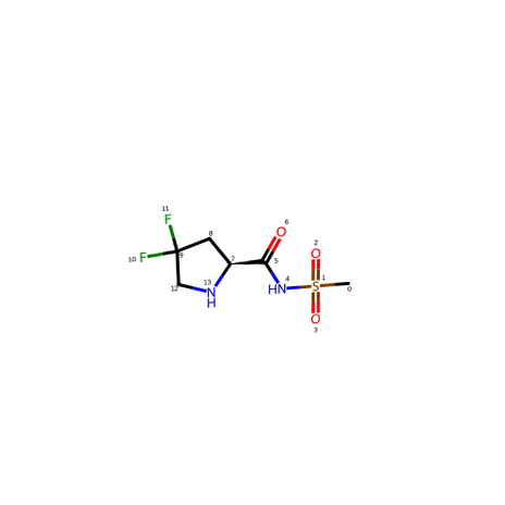 CS(=O)(=O)NC(=O)[C@@H]1CC(F)(F)CN1